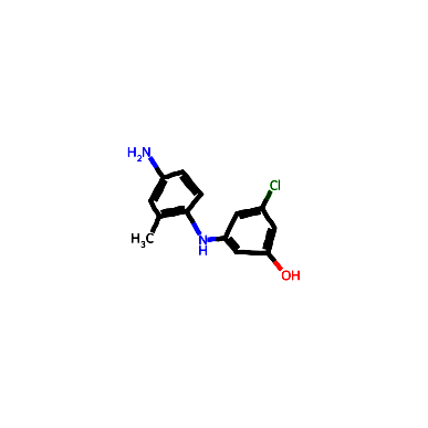 Cc1cc(N)ccc1Nc1cc(O)cc(Cl)c1